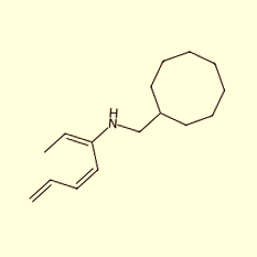 C=C/C=C\C(=C/C)NCC1CCCCCCC1